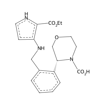 CCOC(=O)c1[nH]ccc1NCc1ccccc1[C@@H]1COCCN1C(=O)O